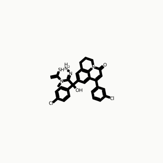 C=C(S)N(C)/C(=N\N)C(O)(c1ccc(Cl)cc1)c1cc2c3c(c1)c(-c1cccc(Cl)c1)cc(=O)n3CCC2